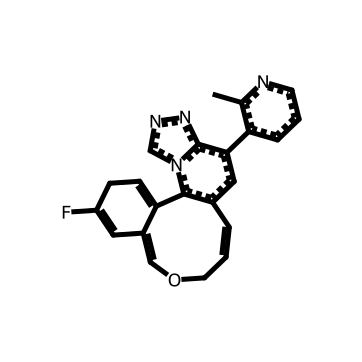 Cc1ncccc1-c1cc2c(n3cnnc13)C1=CCC(F)=CC1=COCC=C2